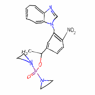 CC(OP(=O)(N1CC1)N1CC1)c1ccc([N+](=O)[O-])c(-n2cnc3ccccc32)c1